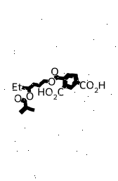 C=C(C)C(=O)OC(CC)CCCOC(=O)c1ccc(C(=O)O)cc1C(=O)O